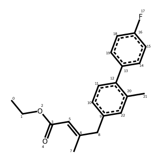 CCOC(=O)C=C(C)Cc1ccc(-c2ccc(F)cc2)c(C)c1